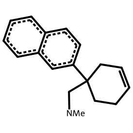 CNCC1(c2ccc3ccccc3c2)CC=CCC1